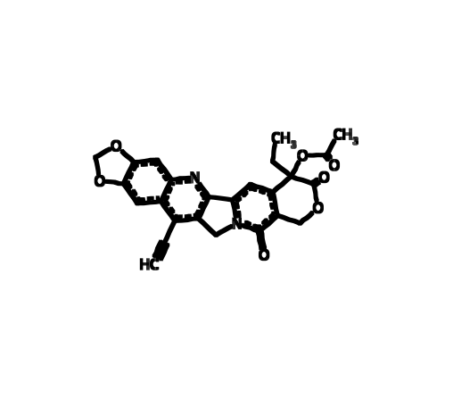 C#Cc1c2c(nc3cc4c(cc13)OCO4)-c1cc3c(c(=O)n1C2)COC(=O)C3(CC)OC(C)=O